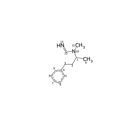 CC(CCc1ccccc1)N(C)C=N